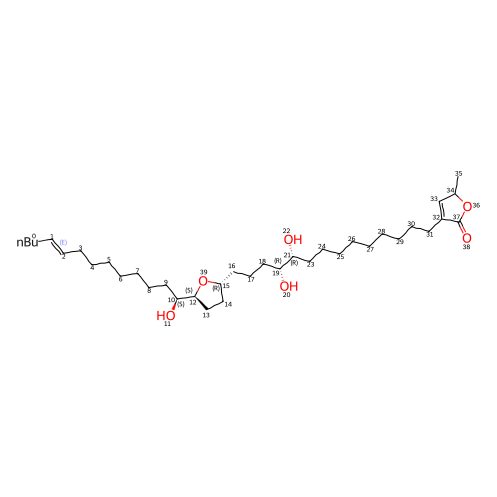 CCCC/C=C/CCCCCCC[C@H](O)[C@@H]1CC[C@@H](CCC[C@@H](O)[C@H](O)CCCCCCCCCC2=CC(C)OC2=O)O1